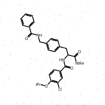 CNC(=O)C(Cc1ccc(CNC(=O)c2ccccc2)cc1)NC(=O)c1ccc(OC(C)C)c(Cl)c1